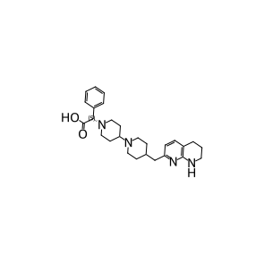 O=C(O)[C@H](c1ccccc1)N1CCC(N2CCC(Cc3ccc4c(n3)NCCC4)CC2)CC1